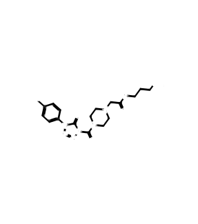 CCCCNC(=O)CN1CCN(C(=O)n2nnn(-c3ccc(Cl)cc3)c2=O)CC1